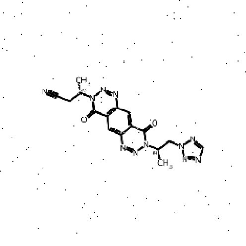 C[C@H](CC#N)n1nnc2cc3c(=O)n([C@H](C)Cn4ncnn4)nnc3cc2c1=O